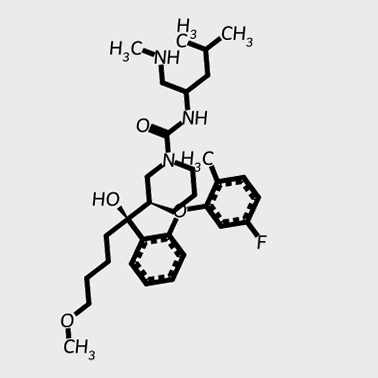 CNCC(CC(C)C)NC(=O)N1CCC[C@@H]([C@@](O)(CCCCOC)c2ccccc2Oc2cc(F)ccc2C)C1